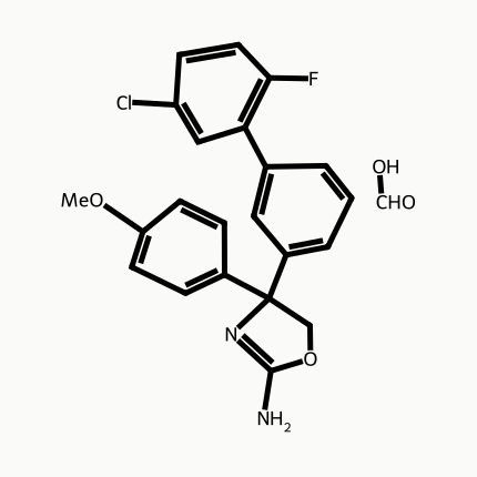 COc1ccc(C2(c3cccc(-c4cc(Cl)ccc4F)c3)COC(N)=N2)cc1.O=CO